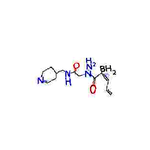 B/C(=C/C=C)C(=O)N(N)CC(=O)NCC1CC=NCC1